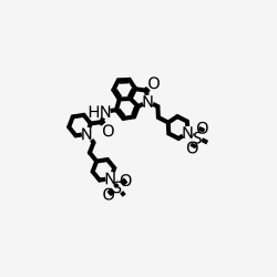 CS(=O)(=O)N1CCC(CCN2C(=O)c3cccc4c(NC(=O)C5CCCCN5CCC5CCN(S(C)(=O)=O)CC5)ccc2c34)CC1